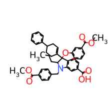 CCCC1N(Cc2ccc(C(=O)OC)cc2)c2cc(C(=O)O)ccc2C1(Oc1cccc(C(=O)OC)c1)C1=CCC(c2ccccc2)CC1